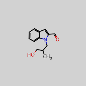 CC(CO)Cn1c(C=O)cc2ccccc21